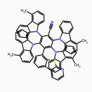 Cc1cccc2c1c1ccccc1n2-c1c(C#N)c(-n2c3ccccc3c3c(C)cccc32)c(-n2c3ccccc3c3c(C)cccc32)c(-c2cccc3c2sc2ncccc23)c1-n1c2ccccc2c2c(C)cccc21